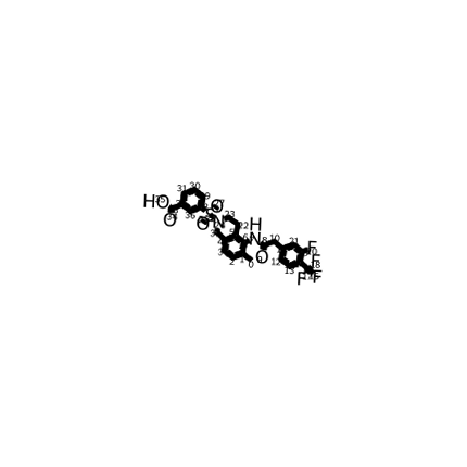 Cc1ccc2c(c1NC(=O)Cc1ccc(C(F)(F)F)c(F)c1)CCN(S(=O)(=O)c1cccc(C(=O)O)c1)C2